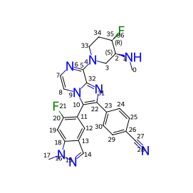 CN[C@H]1CN(c2nccn3c(-c4cc5cnn(C)c5cc4F)c(-c4ccc(C#N)cc4)nc23)CC[C@H]1F